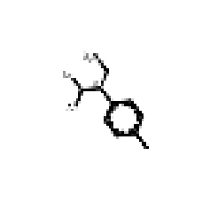 CC(=O)C(C(C)=O)[C@@H](C[N+](=O)[O-])c1ccc(C)cc1